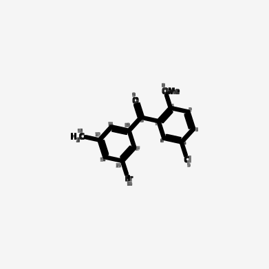 COc1ccc(Cl)cc1C(=O)c1cc(C)cc(Br)c1